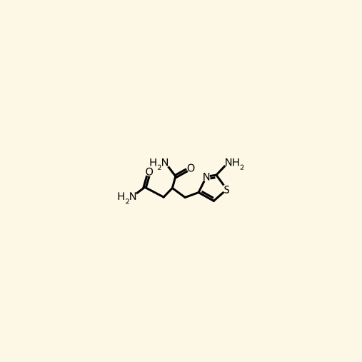 NC(=O)CC(Cc1csc(N)n1)C(N)=O